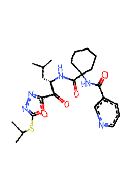 CC(C)C[C@H](NC(=O)C1(NC(=O)c2cccnc2)CCCCC1)C(=O)c1nnc(SC(C)C)o1